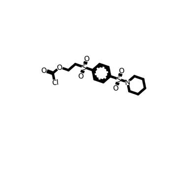 O=C(Cl)OCCS(=O)(=O)c1ccc(S(=O)(=O)N2CCCCC2)cc1